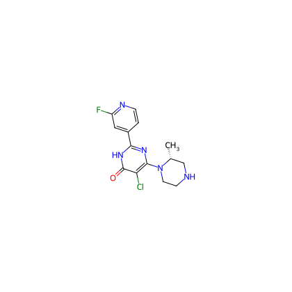 C[C@@H]1CNCCN1c1nc(-c2ccnc(F)c2)[nH]c(=O)c1Cl